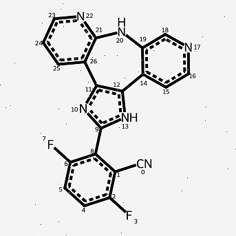 N#Cc1c(F)ccc(F)c1-c1nc2c([nH]1)-c1ccncc1Nc1ncccc1-2